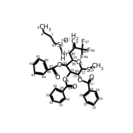 C=C([C@@H](N[S@@+]([O-])CCCC)[C@H]1OC(SC)[C@H](OC(=O)c2ccccc2)C(OC(=O)c2ccccc2)C1OC(=O)c1ccccc1)C(F)(F)F